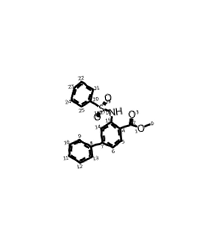 COC(=O)c1ccc(-c2ccccc2)cc1NS(=O)(=O)c1ccccc1